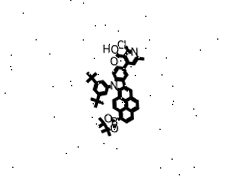 Cc1cc(-c2ccc3c(c2)c2cc4ccc5ccc(B6OC(C)(C)C(C)(C)O6)c6ccc(c4c56)c2n3-c2cc(C(C)(C)C)cc(C(C)(C)C)c2)c(C(=O)O)c(Cl)n1